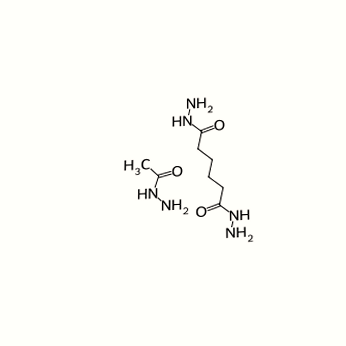 CC(=O)NN.NNC(=O)CCCCC(=O)NN